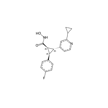 O=C(NO)[C@@H]1[C@H](c2ccc(F)cc2)[C@H]1c1ccnc(C2CC2)c1